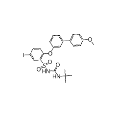 COc1ccc(-c2cccc(Oc3ccc(I)cc3S(=O)(=O)NC(=O)NC(C)(C)C)c2)cc1